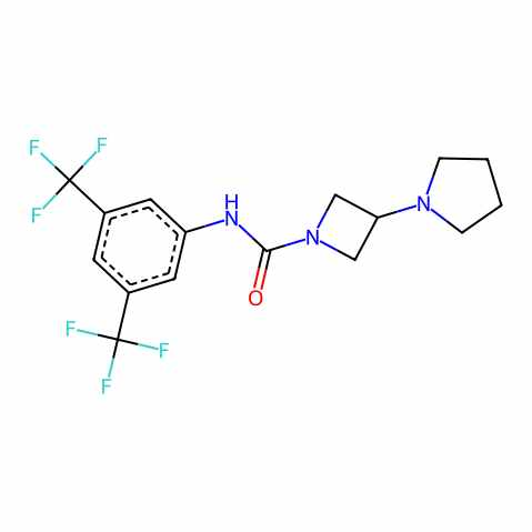 O=C(Nc1cc(C(F)(F)F)cc(C(F)(F)F)c1)N1CC(N2CCCC2)C1